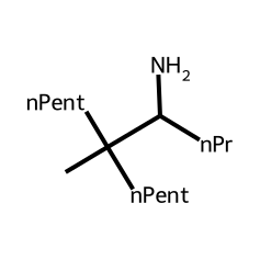 CCCCCC(C)(CCCCC)C(N)CCC